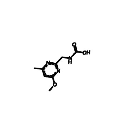 COc1cc(C)nc(CNC(=O)O)n1